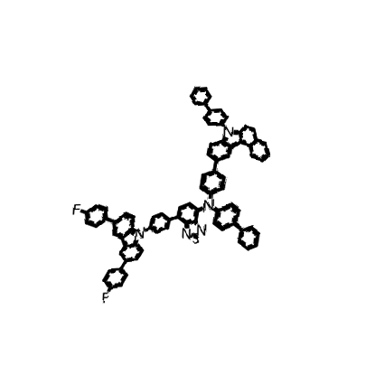 Fc1ccc(-c2ccc3c(c2)c2cc(-c4ccc(F)cc4)ccc2n3-c2ccc(-c3ccc(N(c4ccc(-c5ccccc5)cc4)c4ccc(-c5ccc6c(c5)c5c7ccccc7ccc5n6-c5ccc(-c6ccccc6)cc5)cc4)c4nsnc34)cc2)cc1